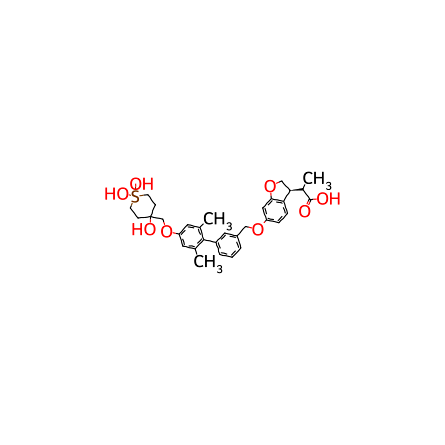 Cc1cc(OCC2(O)CCS(O)(O)CC2)cc(C)c1-c1cccc(COc2ccc3c(c2)OC[C@H]3C(C)C(=O)O)c1